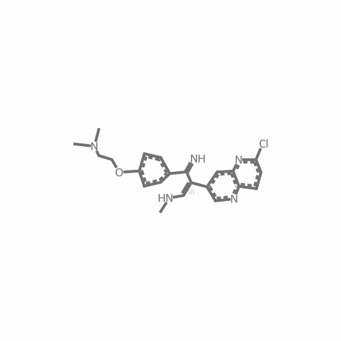 CN/C=C(\C(=N)c1ccc(OCCN(C)C)cc1)c1cnc2ccc(Cl)nc2c1